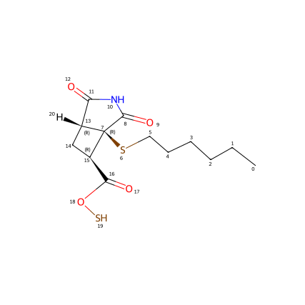 CCCCCCS[C@]12C(=O)NC(=O)[C@H]1C[C@@H]2C(=O)OS